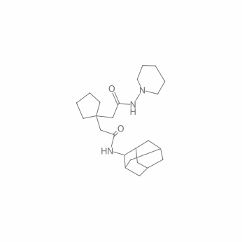 O=C(CC1(CC(=O)NN2CCCCC2)CCCC1)NC1C2CC3CC(C2)CC1C3